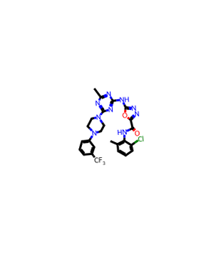 Cc1nc(Nc2nnc(C(=O)Nc3c(C)cccc3Cl)o2)nc(N2CCN(c3cccc(C(F)(F)F)c3)CC2)n1